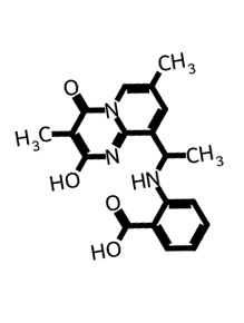 Cc1cc(C(C)Nc2ccccc2C(=O)O)c2nc(O)c(C)c(=O)n2c1